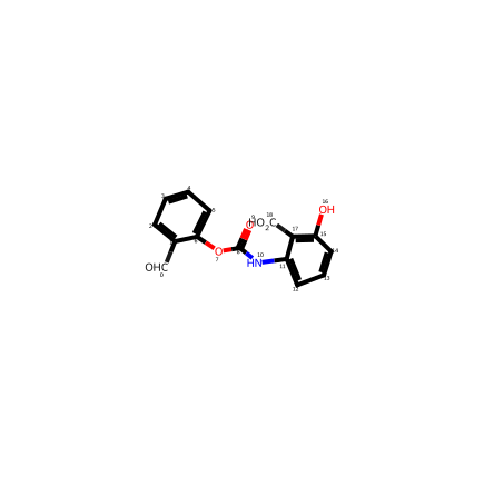 O=Cc1ccccc1OC(=O)Nc1cccc(O)c1C(=O)O